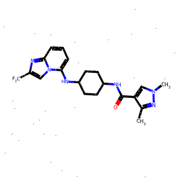 Cc1nn(C)cc1C(=O)NC1CCC(Nc2cccc3nc(C(F)(F)F)cn23)CC1